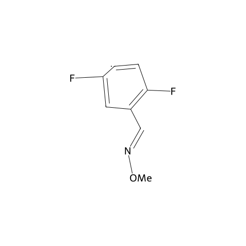 CON=Cc1cc(F)[c]cc1F